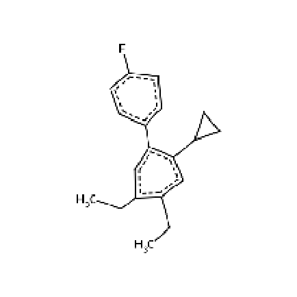 CCc1cc(-c2ccc(F)cc2)c(C2CC2)cc1CC